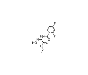 CCOC(=O)/C(=N\O)NC(=O)c1ccc(F)cc1F